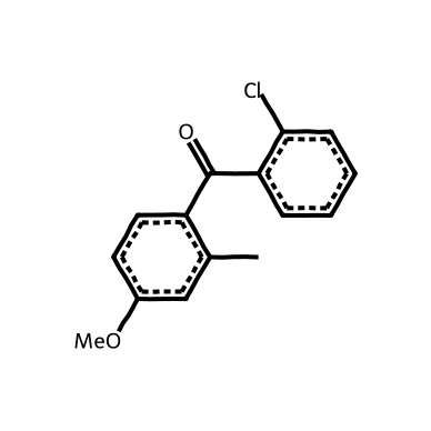 COc1ccc(C(=O)c2ccccc2Cl)c(C)c1